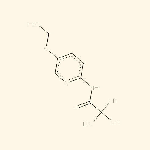 CCOc1ccc(NC(=O)C(C)(C)C)nc1